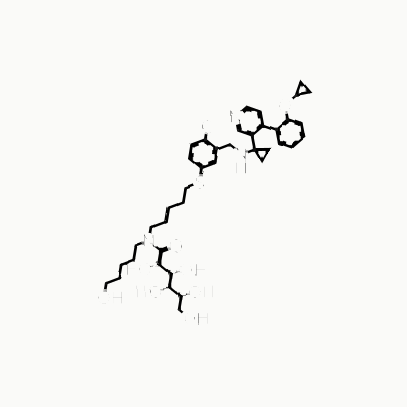 O=C([C@@H](O)[C@@H](O)[C@H](O)[C@@H](O)CO)N(CCCCCO)CCCCCSc1ccc(Cl)c(CNC2(c3cnccc3-c3ccccc3OC3CC3)CC2)c1